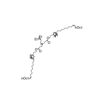 CCCCCCCC/C=C\CCCCCCCCn1cc(CCOC(=O)CCN(CCC(=O)OCCc2cn(CCCCCCCC/C=C\CCCCCCCC)nn2)CCN(CC)CC)nn1